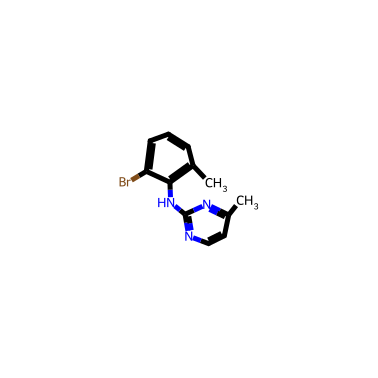 Cc1ccnc(Nc2c(C)cccc2Br)n1